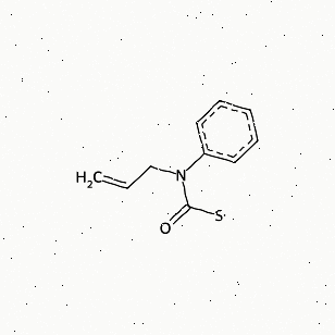 C=CCN(C(=O)[S])c1ccccc1